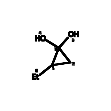 CCC1CC1(O)O